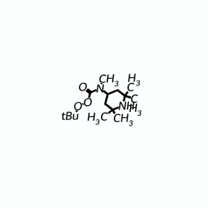 CN(C(=O)OOC(C)(C)C)C1CC(C)(C)NC(C)(C)C1